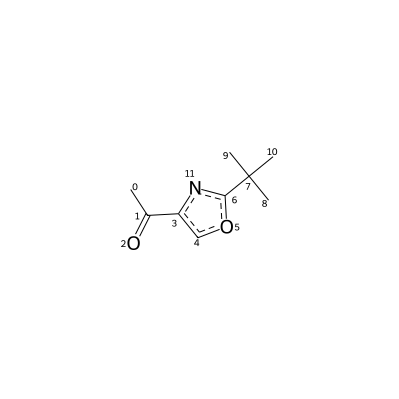 CC(=O)c1coc(C(C)(C)C)n1